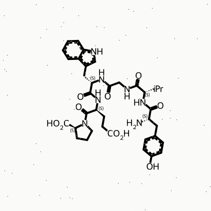 CC(C)[C@H](NC(=O)[C@@H](N)Cc1ccc(O)cc1)C(=O)NCC(=O)N[C@@H](Cc1c[nH]c2ccccc12)C(=O)N[C@@H](CCC(=O)O)C(=O)N1CCC[C@H]1C(=O)O